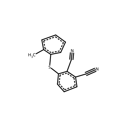 Cc1ccccc1Sc1cccc(C#N)c1C#N